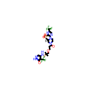 CC(C)(COCCC(=O)N1CCN2c3ncc(C(F)(F)F)nc3S(=O)(=O)C[C@H]2C1)SNc1cn[nH]c(=O)c1C(F)(F)F